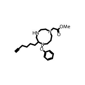 C#CCCCCC1CNCCN(CC(=O)OC)CCCN1Oc1ccccc1